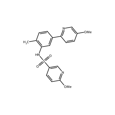 COc1ccc(-c2ccc(C)c(NS(=O)(=O)c3ccc(OC)nc3)c2)nc1